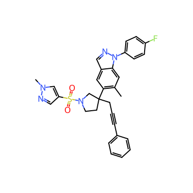 Cc1cc2c(cnn2-c2ccc(F)cc2)cc1C1(CC#Cc2ccccc2)CCN(S(=O)(=O)c2cnn(C)c2)C1